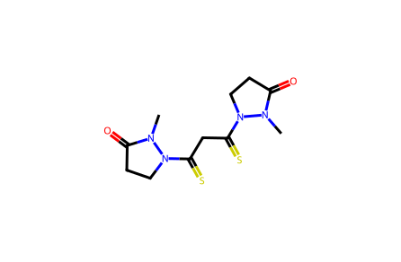 CN1C(=O)CCN1C(=S)CC(=S)N1CCC(=O)N1C